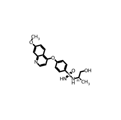 COc1ccc2c(Oc3ccc(S(=N)(=O)N[C@H](C)CO)cc3)ccnc2c1